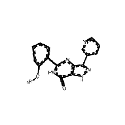 CCCOc1ccccc1-c1nc2c(-c3cccnc3)n[nH]c2c(=O)[nH]1